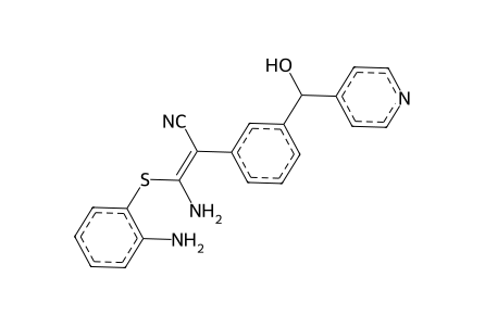 N#C/C(=C(/N)Sc1ccccc1N)c1cccc(C(O)c2ccncc2)c1